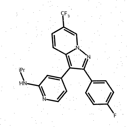 CC(C)Nc1cc(-c2c(-c3ccc(F)cc3)nn3cc(C(F)(F)F)ccc23)ccn1